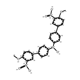 COc1ccc(-c2ccc([S+]([O-])c3ccc(-c4ccc(OC)c([N+](=O)[O-])c4)cc3)cc2)cc1[N+](=O)[O-]